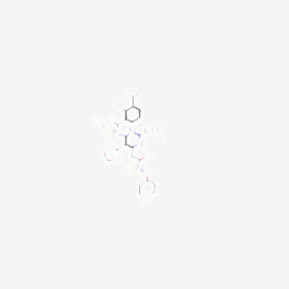 Cc1nc(CC(=O)NOC2CCOCC2)c(C2OCCO2)c(NC(C)c2cccc(C(F)F)c2F)n1